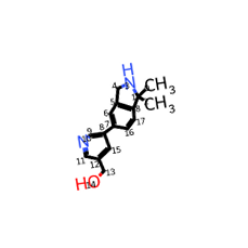 CC1(C)NCc2cc(-c3cncc(CO)c3)ccc21